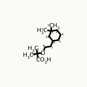 CC1(C)CCCC(CCOC(C)(C)C(=O)O)C1